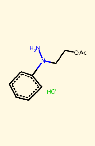 CC(=O)OCCN(N)c1ccccc1.Cl